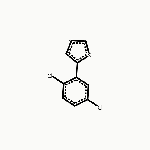 Clc1ccc(Cl)c(-c2c[c]cs2)c1